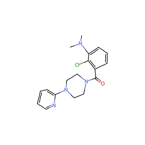 CN(C)c1cccc(C(=O)N2CCN(c3ccccn3)CC2)c1Cl